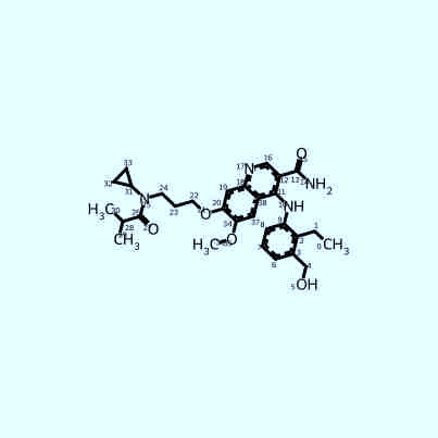 CCc1c(CO)cccc1Nc1c(C(N)=O)cnc2cc(OCCCN(C(=O)C(C)C)C3CC3)c(OC)cc12